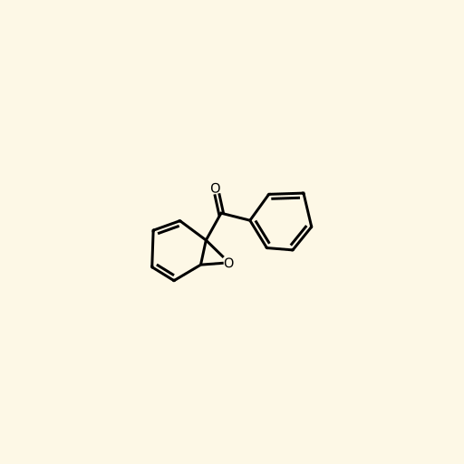 O=C(c1ccccc1)C12C=CC=CC1O2